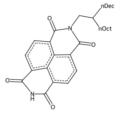 CCCCCCCCCCC(CCCCCCCC)CN1C(=O)c2ccc3c4c(ccc(c24)C1=O)C(=O)NC3=O